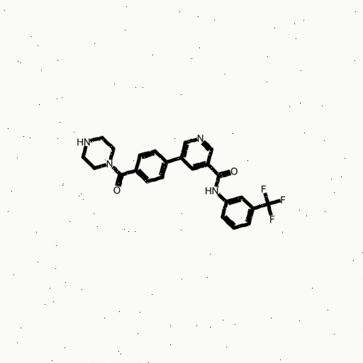 O=C(Nc1cccc(C(F)(F)F)c1)c1cncc(-c2ccc(C(=O)N3CCNCC3)cc2)c1